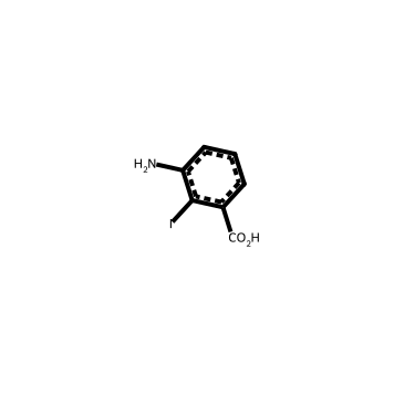 Nc1cccc(C(=O)O)c1I